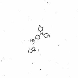 c1ccc2c(CCNc3ccc(N(c4ccncc4)c4ccncc4)cc3)c[nH]c2c1